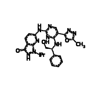 Cc1nnc(-c2cnc(Nc3ccc4c(=O)[nH]n(C(C)C)c4n3)nc2N[C@H](CO)c2ccccc2)o1